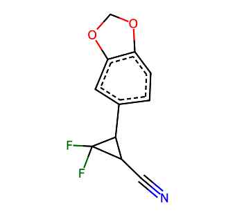 N#CC1C(c2ccc3c(c2)OCO3)C1(F)F